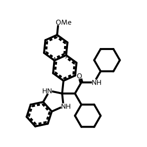 COc1ccc2cc(C3(C(C(=O)NC4CCCCC4)C4CCCCC4)Nc4ccccc4N3)ccc2c1